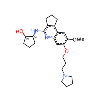 COc1cc2c3c(c(N[C@H]4CCC[C@H]4O)nc2cc1OCCCN1CCCC1)CCC3